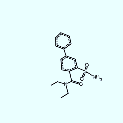 CCN(CC)C(=O)c1ccc(-c2ccccc2)cc1S(N)(=O)=O